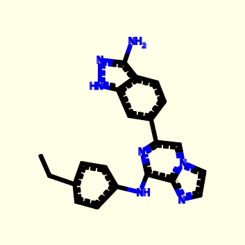 CCc1ccc(Nc2nc(-c3ccc4c(N)n[nH]c4c3)cn3ccnc23)cc1